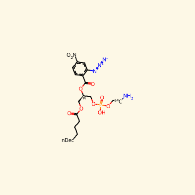 CCCCCCCCCCCCCC(=O)OC[C@H](COP(=O)(O)OC[14CH2]N)OC(=O)c1ccc([N+](=O)[O-])cc1N=[N+]=[N-]